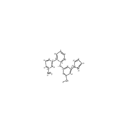 COc1cc(Oc2ncccc2-c2ccnc(N)n2)cc(-n2cccn2)c1